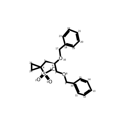 O=S(=O)(Cl)C1(C[C@H](COCc2ccccc2)OCc2ccccc2)CC1